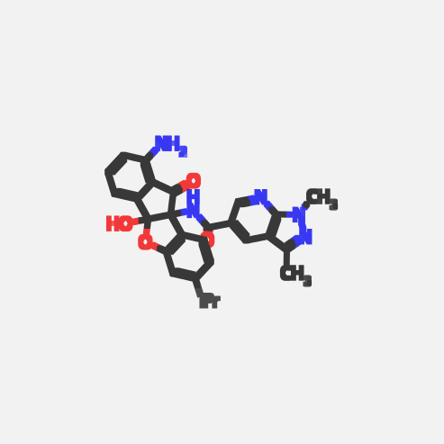 Cc1nn(C)c2ncc(C(=O)NC34C(=O)c5c(N)cccc5C3(O)Oc3cc(C(C)C)ccc34)cc12